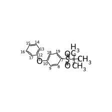 CC(C)(C)S(=O)(=O)c1ccc(Oc2ccccc2)cc1